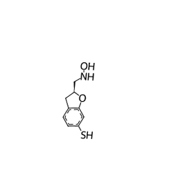 ONC[C@@H]1Cc2ccc(S)cc2O1